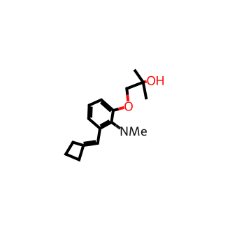 CNc1c(C=C2CCC2)cccc1OCC(C)(C)O